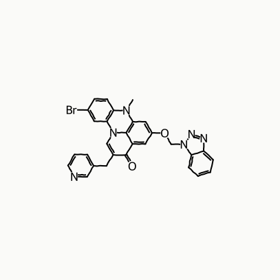 CN1c2ccc(Br)cc2-n2cc(Cc3cccnc3)c(=O)c3cc(OCn4nnc5ccccc54)cc1c32